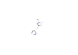 CC(=O)C(=O)c1c(C)c(C(=O)Nc2ccnc(Cl)c2)c(C)n1C